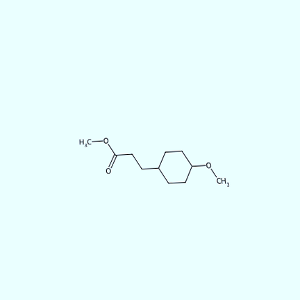 COC(=O)CCC1CCC(OC)CC1